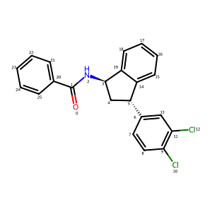 O=C(N[C@@H]1C[C@@H](c2ccc(Cl)c(Cl)c2)c2ccccc21)c1ccccc1